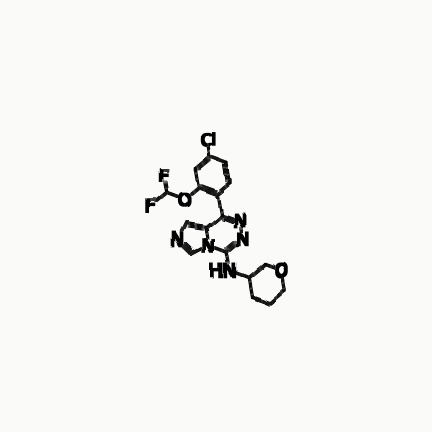 FC(F)Oc1cc(Cl)ccc1-c1nnc(NC2CCCOC2)n2cncc12